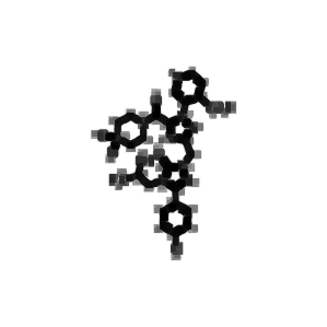 O=C(O)c1ccncc1-n1nc(Cn2nc(-c3ccc(Cl)cc3)n(C[C@H](O)C(F)(F)F)c2=O)nc1C(=O)N1CCS(=O)(=O)CC1